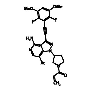 C=CC(=O)N1CCC(n2nc(C#Cc3c(F)c(OC)cc(OC)c3F)c3c(N)ncc(C(C)=O)c32)C1